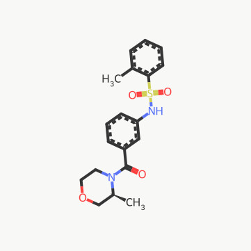 Cc1ccccc1S(=O)(=O)Nc1cccc(C(=O)N2CCOC[C@@H]2C)c1